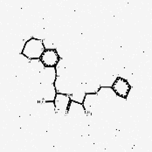 CC(CNCc1ccccc1)C(=O)NC(CCc1ccc2c(c1)OCCCO2)C(C)C